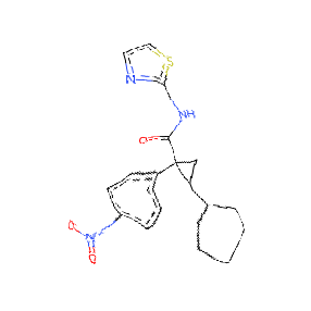 O=C(Nc1nccs1)C1(c2ccc([N+](=O)[O-])cc2)CC1C1CCCCC1